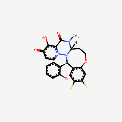 CN1C(=O)c2c(O)c(=O)ccn2N2[C@H](c3ccccc3Br)c3cc(F)c(F)cc3OCC[C@@H]12